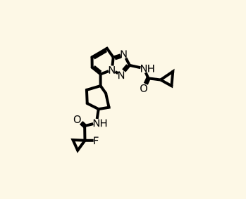 O=C(Nc1nc2cccc(C3CCC(NC(=O)C4(F)CC4)CC3)n2n1)C1CC1